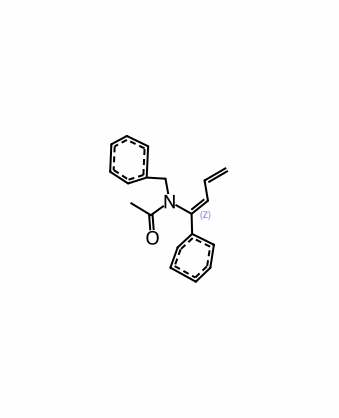 C=C/C=C(/c1ccccc1)N(Cc1ccccc1)C(C)=O